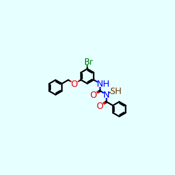 O=C(Nc1cc(Br)cc(OCc2ccccc2)c1)N(S)C(=O)c1ccccc1